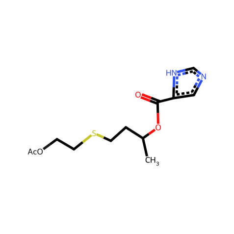 CC(=O)OCCSCCC(C)OC(=O)c1cnc[nH]1